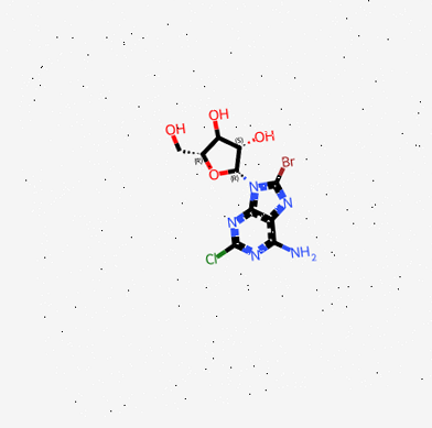 Nc1nc(Cl)nc2c1nc(Br)n2[C@@H]1O[C@H](CO)C(O)[C@@H]1O